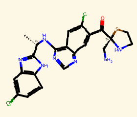 C[C@H](Nc1ncnc2cc(C(=O)[C@@]3(CN)NCCS3)c(Cl)cc12)c1nc2cc(Cl)ccc2[nH]1